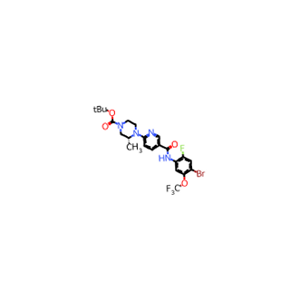 C[C@@H]1CN(C(=O)OC(C)(C)C)CCN1c1ccc(C(=O)Nc2cc(OC(F)(F)F)c(Br)cc2F)cn1